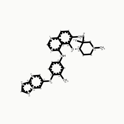 COc1ccc2ncnc(Nc3ccc(Oc4cnc5ncnn5c4)c(C)c3)c2c1O[C@H]1CCN(C)CC1(F)F